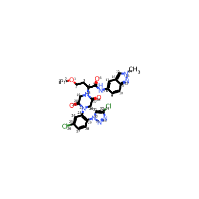 CC(C)OCCC(C(=O)Nc1ccc2nn(C)cc2c1)N1CC(=O)N(c2cc(Cl)ccc2-n2cc(Cl)nn2)CC1=O